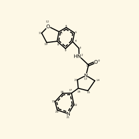 O=C(NCc1ccc2c(c1)CCO2)N1CCC(c2cccnc2)C1